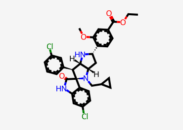 CCOC(=O)c1ccc([C@@H]2C[C@H]3[C@@H](N2)[C@H](c2cccc(Cl)c2)[C@]2(C(=O)Nc4cc(Cl)ccc42)N3CC2CC2)c(OC)c1